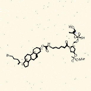 COP(C)(=O)OC1C[C@@H](COP(=O)(S)O/C(C)=C/O)N(C(=O)CCCCCNC(=O)O[C@H]2CC[C@@]3(C)C(=CCC4C3CC[C@@]3(C)C4CC[C@@H]3C(C)CCCC(C)C)C2)C1